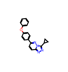 c1ccc(Oc2ccc(-c3ccc4nnc(C5CC5)n4n3)cc2)cc1